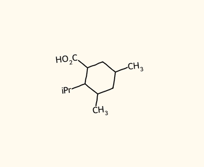 CC1CC(C)C(C(C)C)C(C(=O)O)C1